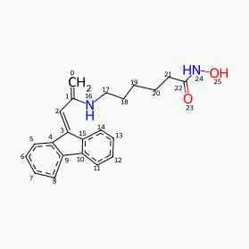 C=C(C=C1c2ccccc2-c2ccccc21)NCCCCCC(=O)NO